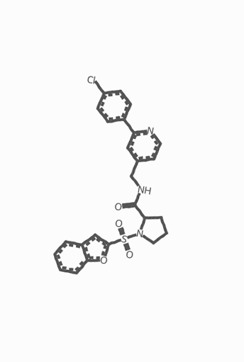 O=C(NCc1ccnc(-c2ccc(Cl)cc2)c1)C1CCCN1S(=O)(=O)c1cc2ccccc2o1